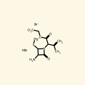 Br.C=C(C)C(C(=O)OCC(Cl)(Cl)Cl)N1C(=O)C(N)C1[S][Hg+].[Br-]